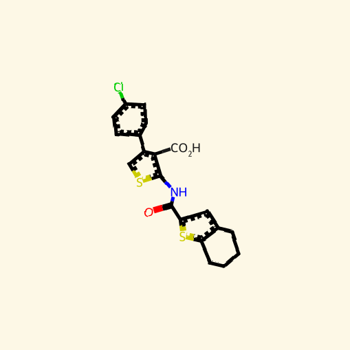 O=C(Nc1scc(-c2ccc(Cl)cc2)c1C(=O)O)c1cc2c(s1)CCCC2